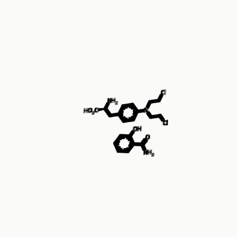 NC(=O)c1ccccc1O.N[C@@H](Cc1ccc(N(CCCl)CCCl)cc1)C(=O)O